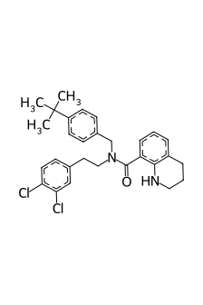 CC(C)(C)c1ccc(CN(CCc2ccc(Cl)c(Cl)c2)C(=O)c2cccc3c2NCCC3)cc1